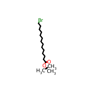 CC(C)(C)OC(=O)CCCCCCCCCCCCCBr